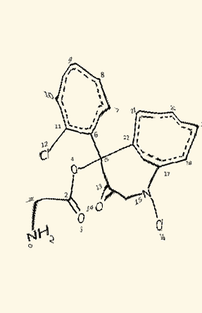 NCC(=O)OC1(c2ccccc2Cl)C(=O)N(Cl)c2ccccc21